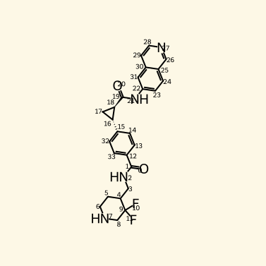 O=C(NCC1CCNCC1(F)F)c1ccc([C@@H]2C[C@H]2C(=O)Nc2ccc3cnccc3c2)cc1